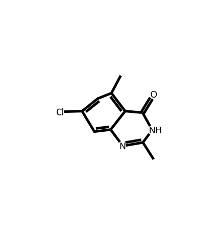 Cc1nc2cc(Cl)cc(C)c2c(=O)[nH]1